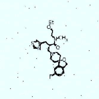 CCOCCN(C)C(=O)C(Cc1cscn1)CN1CCC2(CC1)OCc1ccc(F)cc12